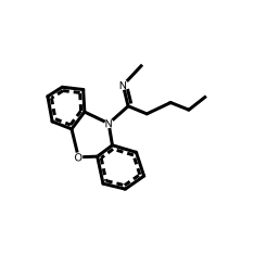 CCCCC(=NC)N1c2ccccc2Oc2ccccc21